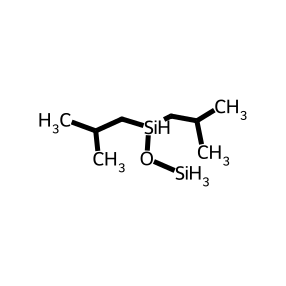 CC(C)C[SiH](CC(C)C)O[SiH3]